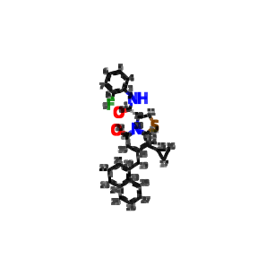 O=C(Nc1ccccc1F)[C@@H]1CSc2c(C3CC3)c(Cc3cccc4ccccc34)cc(=O)n21